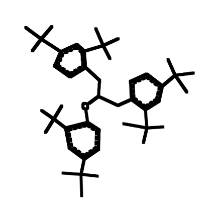 CC(C)(C)c1ccc(CC(Cc2ccc(C(C)(C)C)cc2C(C)(C)C)Oc2ccc(C(C)(C)C)cc2C(C)(C)C)c(C(C)(C)C)c1